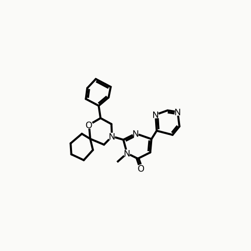 Cn1c(N2CC(c3ccccc3)OC3(CCCCC3)C2)nc(-c2ccncn2)cc1=O